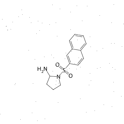 NC1CCCN1S(=O)(=O)c1ccc2ccccc2c1